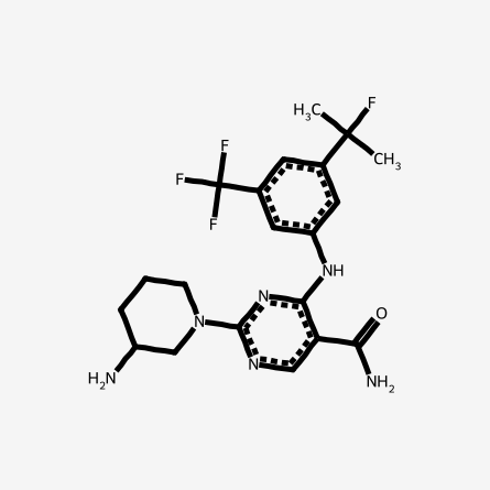 CC(C)(F)c1cc(Nc2nc(N3CCCC(N)C3)ncc2C(N)=O)cc(C(F)(F)F)c1